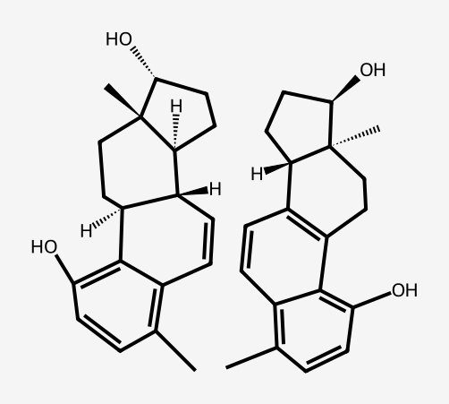 Cc1ccc(O)c2c1C=C[C@@H]1[C@@H]2CC[C@]2(C)[C@H](O)CC[C@@H]12.Cc1ccc(O)c2c3c(ccc12)[C@@H]1CC[C@@H](O)[C@@]1(C)CC3